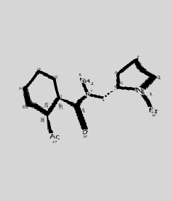 CCN1CCC[C@H]1CN(N)C(=O)[C@@H]1CCCC[C@@H]1C(C)=O